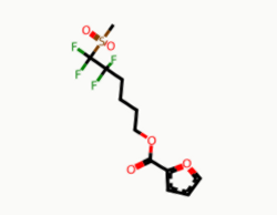 CS(=O)(=O)C(F)(F)C(F)(F)CCCCOC(=O)c1ccco1